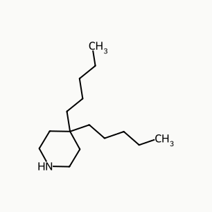 CCCCCC1(CCCCC)CCNCC1